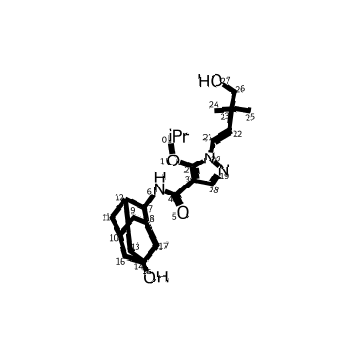 CC(C)Oc1c(C(=O)NC2C3CC4CC2CC(O)(C4)C3)cnn1/C=C/C(C)(C)CO